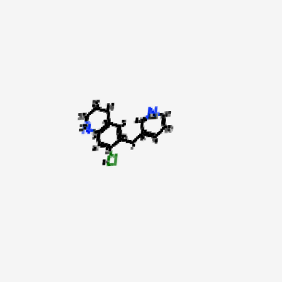 Clc1cc2c(cc1Cc1cccnc1)CCC=N2